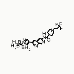 BC(B)(B)n1cc(-c2cnc3cnc(NC(=O)C4CCN(CCC(F)(F)F)CC4)cc3c2)cn1